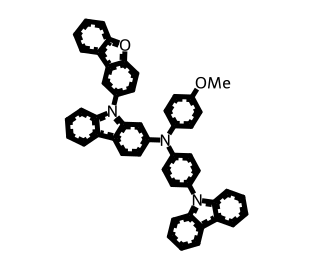 COc1ccc(N(c2ccc(-n3c4ccccc4c4ccccc43)cc2)c2ccc3c4ccccc4n(-c4ccc5oc6ccccc6c5c4)c3c2)cc1